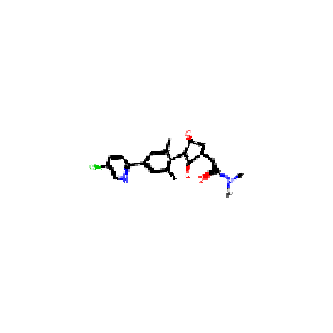 Cc1cc(-c2ccc(Cl)cn2)cc(C)c1C1C(=O)CC(CC(=O)N(C)C(C)C)C1=O